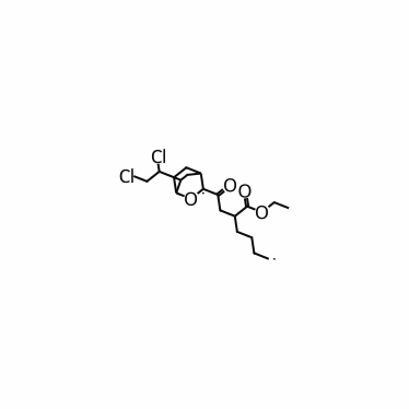 [CH2]CCCC(CC(=O)[C]1OC2CCC1CC2C(Cl)CCl)C(=O)OCC